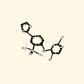 CP(C)(=O)c1cc(-c2ncco2)ccc1Nc1nc(Cl)ncc1Br